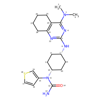 CN(C)c1nc(N[C@H]2CC[C@@H](N(C(N)=O)c3ccsc3)CC2)nc2c1CCCC2